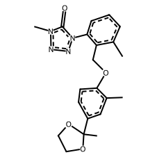 Cc1cc(C2(C)OCCO2)ccc1OCc1c(C)cccc1-n1nnn(C)c1=O